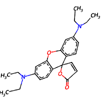 CCN(CC)c1ccc2c(c1)Oc1cc(N(CC)CC)ccc1C21C=CC(=O)O1